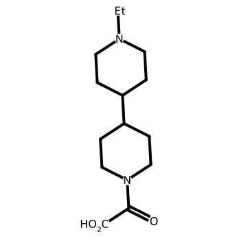 CCN1CCC(C2CCN(C(=O)C(=O)O)CC2)CC1